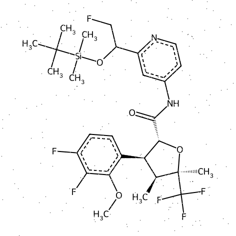 COc1c([C@H]2[C@H](C(=O)Nc3ccnc(C(CF)O[Si](C)(C)C(C)(C)C)c3)O[C@@](C)(C(F)(F)F)[C@H]2C)ccc(F)c1F